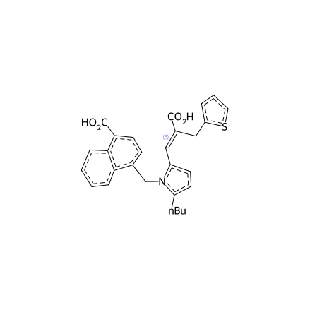 CCCCc1ccc(/C=C(\Cc2cccs2)C(=O)O)n1Cc1ccc(C(=O)O)c2ccccc12